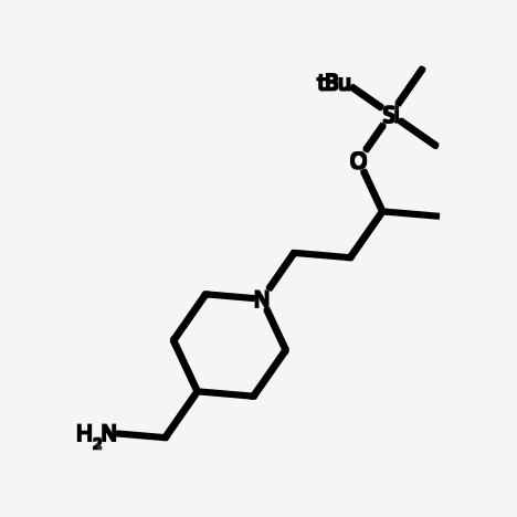 CC(CCN1CCC(CN)CC1)O[Si](C)(C)C(C)(C)C